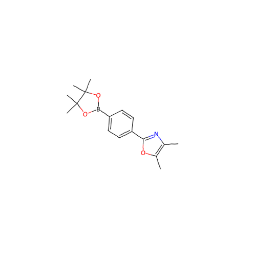 Cc1nc(-c2ccc(B3OC(C)(C)C(C)(C)O3)cc2)oc1C